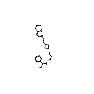 O=C(O)C(CCOC1CC(CCc2ccc3c(n2)NCCC3)C1)NC(=O)C(CO)c1ccccc1